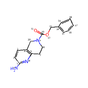 Nc1ccc2c(n1)CCN(C(=O)OCc1ccccc1)C2